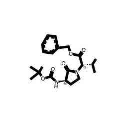 CC(C)[C@@H](C(=O)OCc1ccccc1)N1CC[C@@H](NC(=O)OC(C)(C)C)C1=O